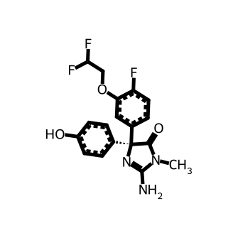 CN1C(=O)[C@](c2ccc(O)cc2)(c2ccc(F)c(OCC(F)F)c2)N=C1N